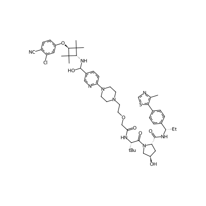 CC[C@H](NC(=O)[C@@H]1C[C@@H](O)CN1C(=O)[C@@H](NC(=O)COCCN1CCN(c2ccc(C(O)N[C@H]3C(C)(C)[C@H](Oc4ccc(C#N)c(Cl)c4)C3(C)C)cn2)CC1)C(C)(C)C)c1ccc(-c2scnc2C)cc1